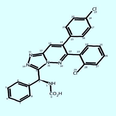 O=C(O)N[C@@H](c1ccccc1)c1nnc2cc(-c3ccc(Cl)cc3)c(-c3ccccc3Cl)nn12